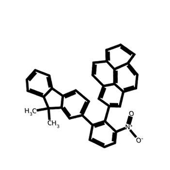 CC1(C)c2ccccc2-c2ccc(-c3cccc([N+](=O)[O-])c3-c3cc4ccc5cccc6ccc(c3)c4c56)cc21